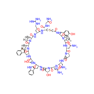 CCCC[C@H]1C(=O)N(C)[C@@H](CCCC)C(=O)N[C@@H](CCCNC(=N)N)C(=O)N[C@H](C(=O)NCC(N)=O)CSCC(=O)N[C@@H](Cc2ccc(O)cc2)C(=O)N(C)[C@@H](C)C(=O)N[C@@H](CC(N)=O)C(=O)N2CCC[C@H]2C(=O)N[C@@H](CN)C(=O)N[C@@H](CC(N)=O)C(=O)N2C[C@H](O)C[C@H]2C(=O)N[C@@H](Cc2c[nH]c3ccccc23)C(=O)N[C@@H](CO)C(=O)N[C@@H](Cc2csc3ccccc23)C(=O)N1C